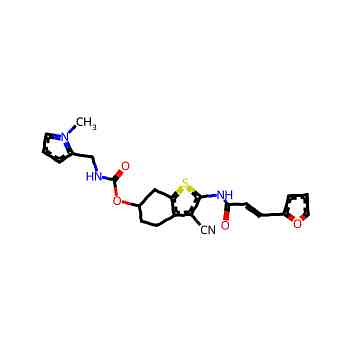 Cn1cccc1CNC(=O)OC1CCc2c(sc(NC(=O)C=Cc3ccco3)c2C#N)C1